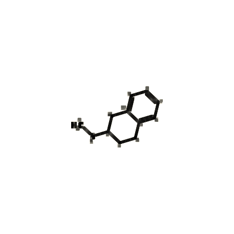 CSC1CCc2ccccc2C1